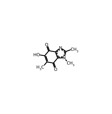 CC1=C(O)C(=O)c2nc(C)n(C)c2C1=O